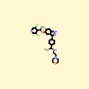 C=C(NCCN1CCOCC1)c1ccc(-c2n[nH]c3ccc(OC(C)c4c(Cl)cncc4Cl)cc23)cc1